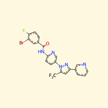 O=C(Nc1ccc(-n2nc(-c3cccnc3)cc2C(F)(F)F)cn1)c1ccc(F)c(Br)c1